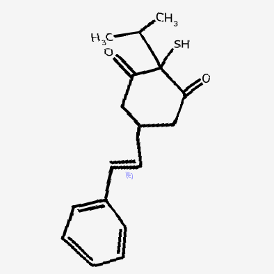 CC(C)C1(S)C(=O)CC(/C=C/c2ccccc2)CC1=O